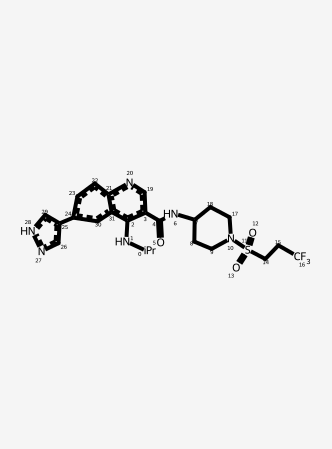 CC(C)Nc1c(C(=O)NC2CCN(S(=O)(=O)CCC(F)(F)F)CC2)cnc2ccc(-c3cn[nH]c3)cc12